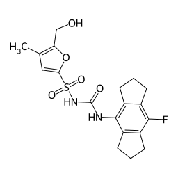 Cc1cc(S(=O)(=O)NC(=O)Nc2c3c(c(F)c4c2CCC4)CCC3)oc1CO